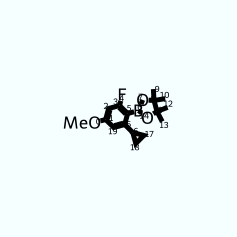 COc1cc(F)c(B2OC(C)(C)C(C)(C)O2)c(C2CC2)c1